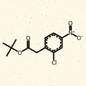 CC(C)(C)OC(=O)Cc1ccc([N+](=O)[O-])cc1Cl